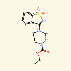 CCOC(=O)N1CCN(C2=NS(=O)(=O)c3ccccc32)CC1